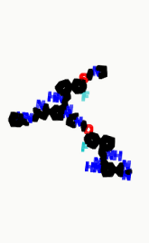 Fc1cc(OCCN2CCC(n3nc(-c4cc5c(-c6cc(F)cc(OCCN7CCCC7)c6)cccc5[nH]4)c4cc(-c5cncc(CNCc6ccccc6)c5)ccc43)C2)cc(-c2cccc3[nH]c(-c4n[nH]c5ccc(-c6cncnc6)cc45)cc23)c1